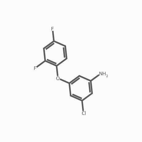 Nc1cc(Cl)cc(Oc2ccc(F)cc2F)c1